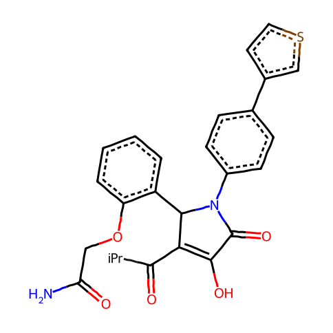 CC(C)C(=O)C1=C(O)C(=O)N(c2ccc(-c3ccsc3)cc2)C1c1ccccc1OCC(N)=O